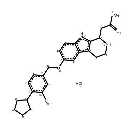 COC(=O)CC1NCCc2c1[nH]c1ccc(OCc3ccc(C4CCCC4)c(C(F)(F)F)c3)cc21.Cl